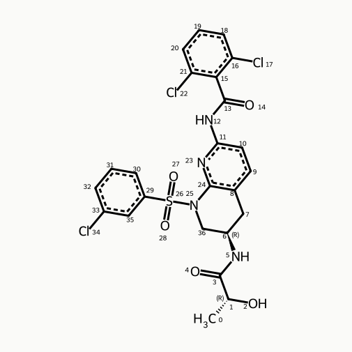 C[C@@H](O)C(=O)N[C@@H]1Cc2ccc(NC(=O)c3c(Cl)cccc3Cl)nc2N(S(=O)(=O)c2cccc(Cl)c2)C1